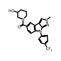 Cn1cc2c3cc(C(=O)N4CCCC(O)C4)ccc3n(-c3ccc(C(F)(F)F)cc3)c2n1